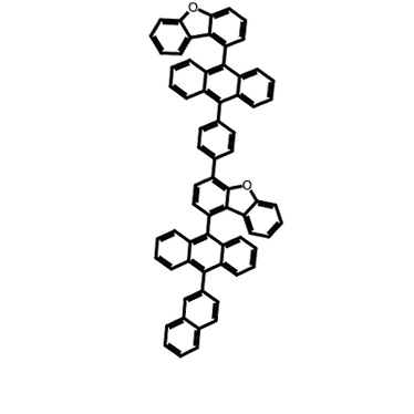 c1ccc2cc(-c3c4ccccc4c(-c4ccc(-c5ccc(-c6c7ccccc7c(-c7cccc8oc9ccccc9c78)c7ccccc67)cc5)c5oc6ccccc6c45)c4ccccc34)ccc2c1